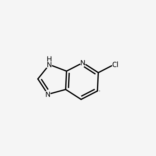 Clc1[c]cc2nc[nH]c2n1